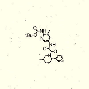 Cc1cc(NC(=O)C(=O)N2CC(C)CCC2c2ccsc2)cnc1NC(=O)OC(C)(C)C